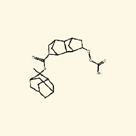 CCC(C)C(=O)OOC1CC2CC1C1C3CC(CC3C(=O)OC3(C)C4CC5CC(C4)CC3C5)C21